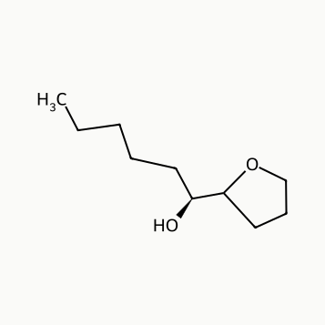 CCCCC[C@H](O)C1CCCO1